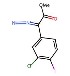 COC(=O)C(=[N+]=[N-])c1ccc(I)c(Cl)c1